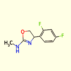 CNC1=NC(c2ccc(F)cc2F)CO1